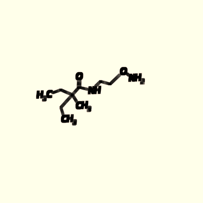 CCC(C)(CC)C(=O)NCCON